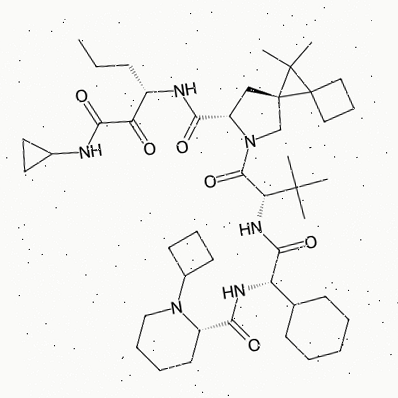 CCC[C@H](NC(=O)[C@@H]1C[C@@]2(CN1C(=O)[C@@H](NC(=O)[C@@H](NC(=O)[C@@H]1CCCCN1C1CCC1)C1CCCCC1)C(C)(C)C)C(C)(C)C21CCC1)C(=O)C(=O)NC1CC1